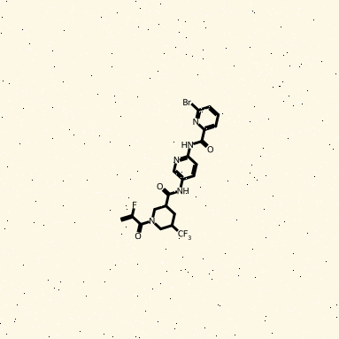 C=C(F)C(=O)N1CC(C(=O)Nc2ccc(NC(=O)c3cccc(Br)n3)nc2)CC(C(F)(F)F)C1